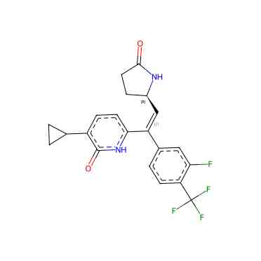 O=C1CC[C@H](/C=C(/c2ccc(C(F)(F)F)c(F)c2)c2ccc(C3CC3)c(=O)[nH]2)N1